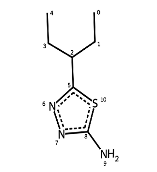 CCC(CC)c1nnc(N)s1